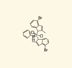 CC1=Cc2c(Br)cccc2[CH]1[Zr]([Cl])([Cl])([BH]c1ccccc1)[CH]1C(C)=Cc2c(Br)cccc21